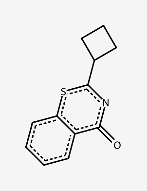 O=c1nc(C2CCC2)sc2ccccc12